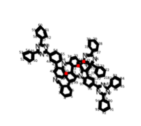 N#Cc1ccccc1-c1ccc(-c2cc(-c3nc(-c4ccccc4)nc(-c4ccccc4)n3)ccc2-n2c3ccccc3c3cc(-c4nc(-c5ccccc5)nc(-c5ccccc5)n4)ccc32)c(-n2c3ccccc3c3cc(-c4nc(-c5ccccc5)nc(-c5ccccc5)n4)ccc32)c1